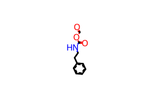 O=COC(=O)NCCc1ccccc1